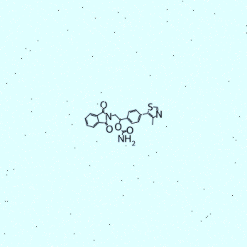 Cc1ncsc1-c1ccc(C(CN2C(=O)c3ccccc3C2=O)OC(N)=O)cc1